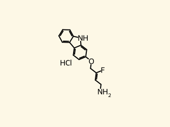 Cl.NC/C=C(\F)COc1ccc2c(c1)[nH]c1ccccc12